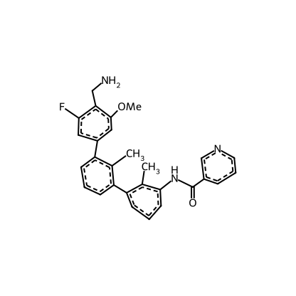 COc1cc(-c2cccc(-c3cccc(NC(=O)c4cccnc4)c3C)c2C)cc(F)c1CN